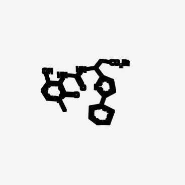 CCOC(=O)CC(NC(=O)Nc1c(O)ccn(C)c1=O)c1ccc(-c2ccccc2)s1